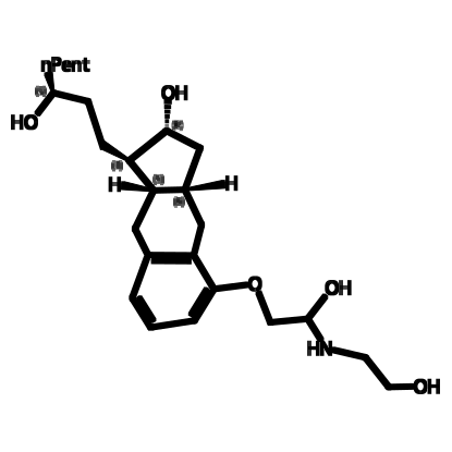 CCCCC[C@H](O)CC[C@@H]1[C@H]2Cc3cccc(OCC(O)NCCO)c3C[C@H]2C[C@H]1O